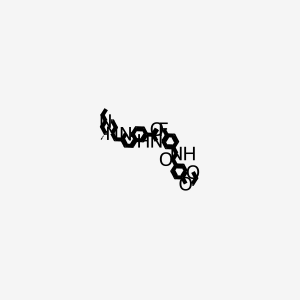 CCN1CCN(Cc2ccc3cc(C(=O)Nc4cc(NC(=O)c5ccc6c(c5)OCCO6)ccc4F)ccc3n2)[C@H](C)C1